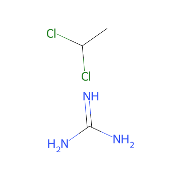 CC(Cl)Cl.N=C(N)N